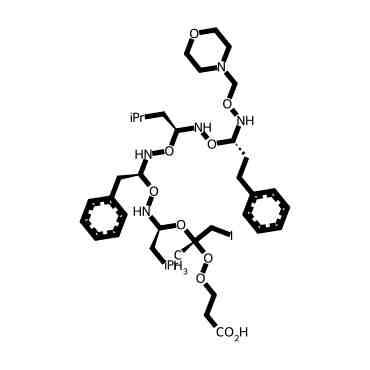 CC(C)C[C@@H](NO[C@@H](CCc1ccccc1)NOCN1CCOCC1)ON[C@H](Cc1ccccc1)ON[C@H](CC(C)C)O[C@](C)(CI)OOCCC(=O)O